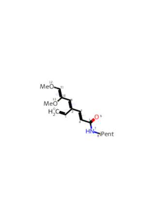 C=CC(/C=C/C(=O)NC(C)CCC)=C\C(=C\OC)OC